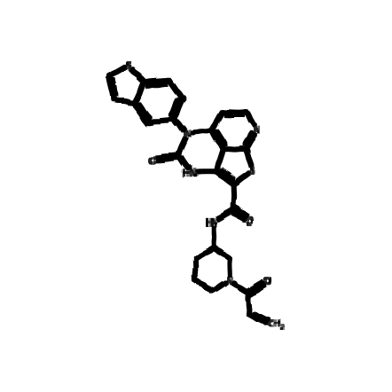 C=CC(=O)N1CCCC(NC(=O)c2sc3nccc4c3c2NC(=O)N4c2ccc3sccc3c2)C1